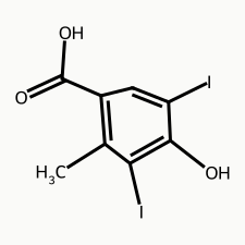 Cc1c(C(=O)O)cc(I)c(O)c1I